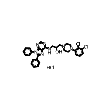 Cl.O[C@@H](CNc1ncnc2c1nc(-c1ccccc1)n2-c1ccccc1)CN1CCN(c2cccc(Cl)c2Cl)CC1